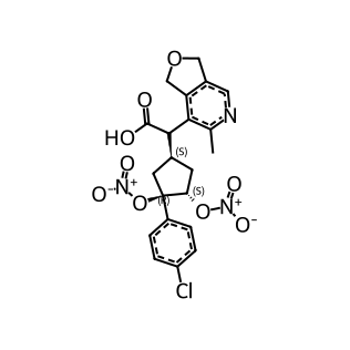 Cc1ncc2c(c1C(C(=O)O)[C@H]1C[C@H](O[N+](=O)[O-])[C@](O[N+](=O)[O-])(c3ccc(Cl)cc3)C1)COC2